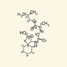 CC(=NOC(=O)NCC1(CC(=O)O)CCCCC1)C(=O)OCC(C)C